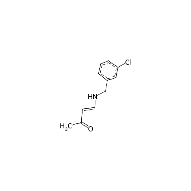 CC(=O)/C=C/NCc1cccc(Cl)c1